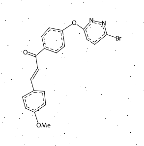 COc1ccc(C=CC(=O)c2ccc(Oc3ccc(Br)nn3)cc2)cc1